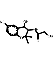 CC(C)(C)CC(=O)NC1C(O)c2cc(C#N)ccc2OC1(C)C